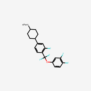 CCCCCC1CCC(c2ccc(C(F)(F)Oc3ccc(F)c(F)c3)c(F)c2)CC1